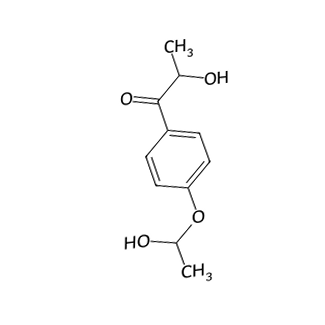 CC(O)Oc1ccc(C(=O)C(C)O)cc1